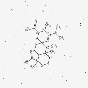 CC(C)C1=CC2(CCC3C(C)(C(=O)O)CCCC3(C)C2C)CC(C(=O)O)C1C